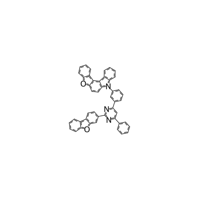 c1ccc(-c2cc(-c3cccc(-n4c5ccccc5c5c6c(ccc54)oc4ccccc46)c3)nc(-c3ccc4c(c3)oc3ccccc34)n2)cc1